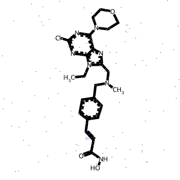 CCn1c(CN(C)Cc2ccc(/C=C/C(=O)NO)cc2)nc2c(N3CCOCC3)nc(Cl)nc21